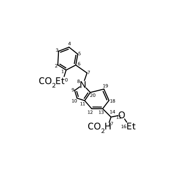 CCOC(=O)c1ccccc1Cn1ccc2cc(C(OCC)C(=O)O)ccc21